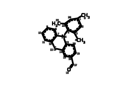 Cc1cc(C)c(N2c3ccccc3Sc3cc(C=O)ccc32)c(C)c1